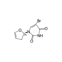 O=c1[nH]c(=O)n([C@H]2CC=CO2)cc1Br